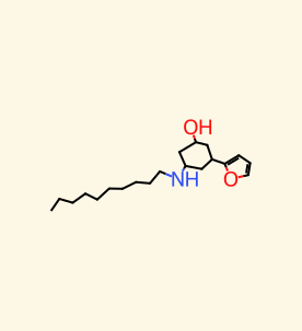 CCCCCCCCCCNC1CC(O)CC(c2ccco2)C1